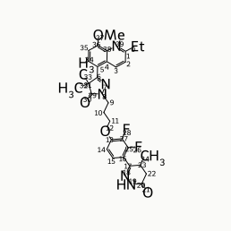 CCc1ccc2c(C3=NN(CCCOc4ccc(C5=NNC(=O)CC5C)c(F)c4F)C(=O)C3(C)C)ccc(OC)c2n1